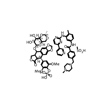 COc1cc([C@@H]2c3cc4c(cc3C(O[C@@H]3O[C@@H]5CO[C@@H](C)O[C@H]5[C@H](O)[C@H]3O)C3COC(=O)[C@@H]32)OCO4)cc(OC)c1OP(=O)(O)O.CS(=O)(=O)O.Cc1ccc(NC(=O)c2ccc(CN3CCN(C)CC3)cc2)cc1Nc1nccc(-c2cccnc2)n1